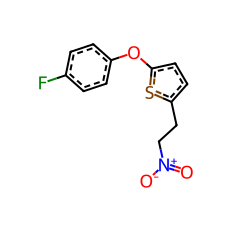 O=[N+]([O-])CCc1ccc(Oc2ccc(F)cc2)s1